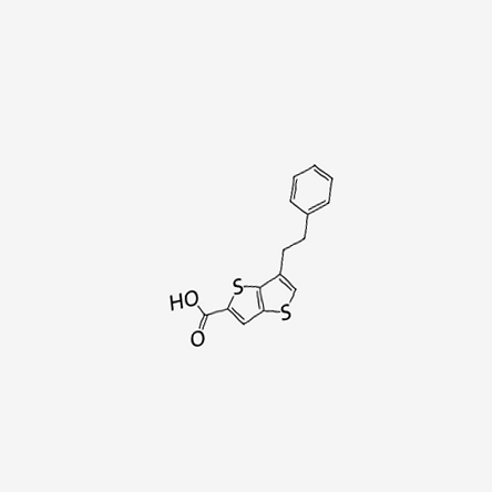 O=C(O)c1cc2scc(CCc3ccccc3)c2s1